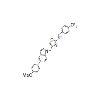 COc1ccc(-c2ccc3c(ccn3Cc3coc(/C=C/c4ccc(C(F)(F)F)cc4)n3)c2)cc1